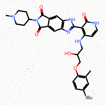 Cc1cc(C(C)(C)C)ccc1OCC(O)CNc1cc[nH]c(=O)c1-c1nc2cc3c(cc2[nH]1)C(=O)N(C1CCN(C)CC1)C3=O